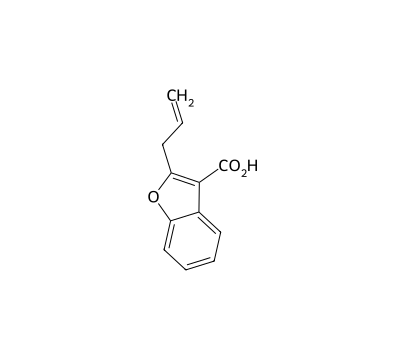 C=CCc1oc2ccccc2c1C(=O)O